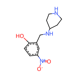 O=[N+]([O-])c1ccc(O)c(CNC2CCNCC2)c1